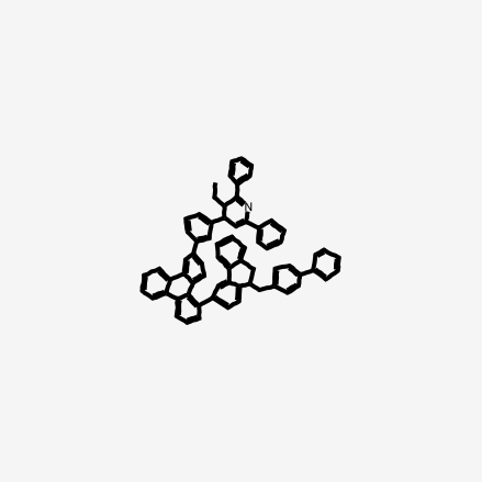 CCC1C(c2ccccc2)=NC(c2ccccc2)=CC1c1cccc(-c2ccc3c(c2)c2ccccc2c2cccc(-c4ccc5c(c4)-c4ccccc4CC5Cc4ccc(-c5ccccc5)cc4)c23)c1